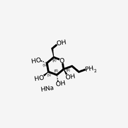 OC[C@H]1O[C@](O)(CCP)[C@H](O)[C@@H](O)[C@@H]1O.[NaH]